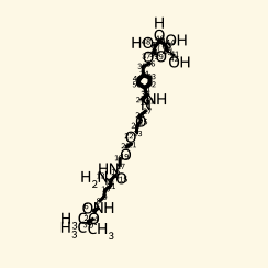 CC(C)(C)OC(=O)NCCCC[C@H](N)C(=O)NCCOCCOCCOCCn1cc(-c2ccc(CCO[C@@H]3O[C@H](CO)[C@@H](O)[C@H](O)[C@H]3O)cc2)[nH]1